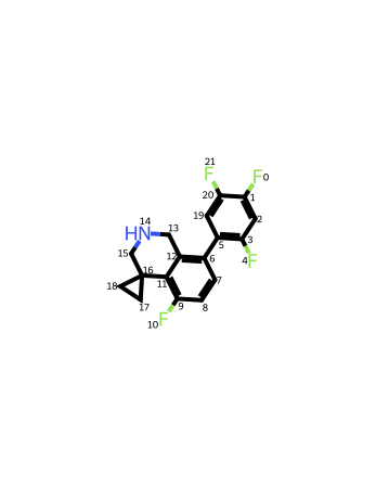 Fc1cc(F)c(-c2ccc(F)c3c2CNCC32CC2)cc1F